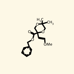 CO/C=C/C1(C(=O)OCc2ccccc2)COC(C)(C)CO1